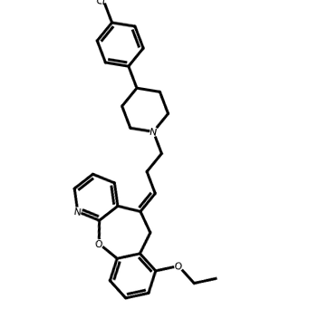 CCOc1cccc2c1C/C(=C/CCN1CCC(c3ccc(Cl)cc3)CC1)c1cccnc1O2